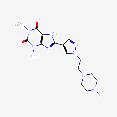 CCCn1c(=O)c2[nH]c(-c3cnn(CCN4CCN(C)CC4)c3)nc2n(CCC)c1=O